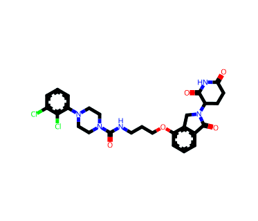 O=C1CCC(N2Cc3c(OCCCNC(=O)N4CCN(c5cccc(Cl)c5Cl)CC4)cccc3C2=O)C(=O)N1